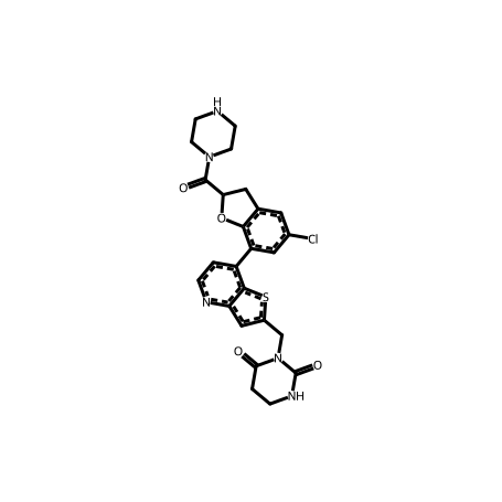 O=C(C1Cc2cc(Cl)cc(-c3ccnc4cc(CN5C(=O)CCNC5=O)sc34)c2O1)N1CCNCC1